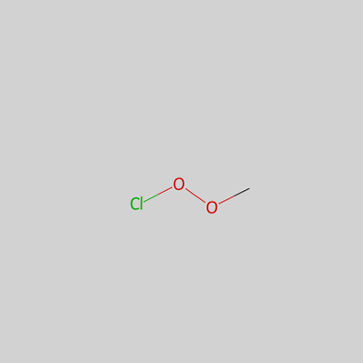 COOCl